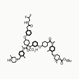 Cc1cc(N(C)C(=O)C2(C(C(=O)O)c3cccc(OC4CCC(C(=O)N(C)c5ccc(CN6CCN(C(=O)OC(C)(C)C)[C@@H](C)C6)c(C)c5)CC4)c3)CCC(Oc3cccc(CC(=O)NCC(F)F)c3)CC2)ccc1CN1CCN[C@@H](C)C1